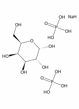 O=P(O)(O)O.O=P(O)(O)O.OC[C@H]1O[C@H](O)[C@H](O)[C@@H](O)[C@H]1O.[NaH]